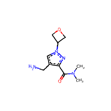 CN(C)C(=O)c1nn(C2COC2)cc1CN